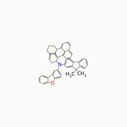 CC1(C)c2ccccc2-c2ccc(N(c3ccc4oc5ccccc5c4c3)C3CC=CC=C3c3cccc4cccc(C5CCCCC5)c34)cc21